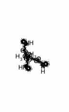 CC(C)(COC(=O)CCc1c[nH]c2ccccc12)C(OC(=O)CCc1c[nH]c2ccccc12)C(=O)NCCCOC(=O)CCc1c[nH]c2ccccc12